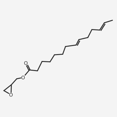 C/C=C/CC/C=C/CCCCCCC(=O)OCC1CO1